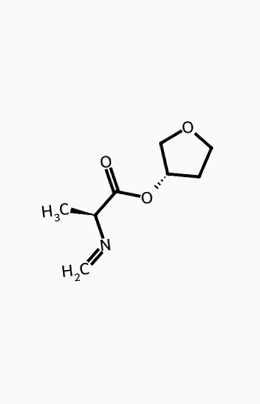 C=N[C@@H](C)C(=O)O[C@H]1CCOC1